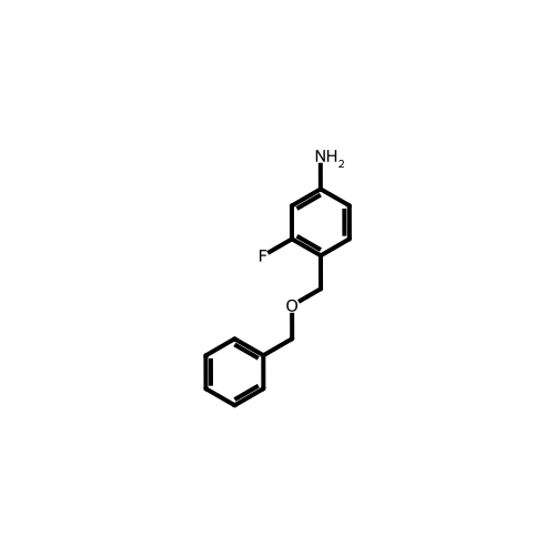 Nc1ccc(COCc2ccccc2)c(F)c1